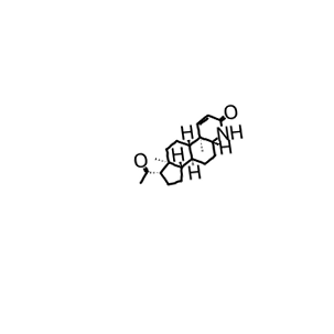 CC(=O)[C@H]1CC[C@H]2[C@@H]3CC[C@H]4NC(=O)C=C[C@]4(C)[C@H]3CC[C@]12C